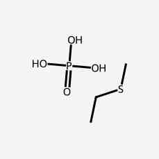 CCSC.O=P(O)(O)O